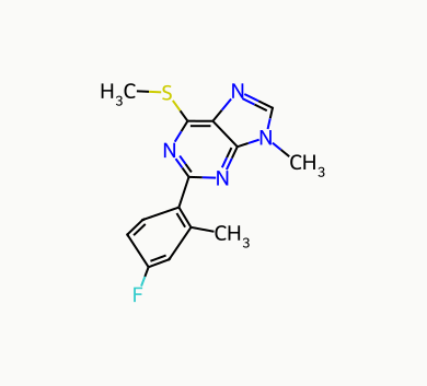 CSc1nc(-c2ccc(F)cc2C)nc2c1ncn2C